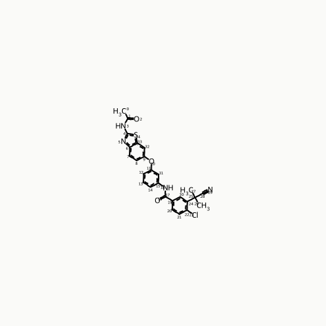 CC(=O)Nc1nc2ccc(Oc3cccc(NC(=O)c4ccc(Cl)c(C(C)(C)C#N)c4)c3)cc2s1